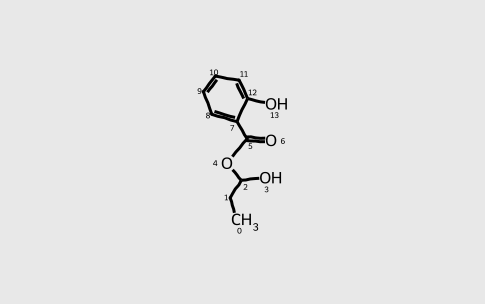 CCC(O)OC(=O)c1ccccc1O